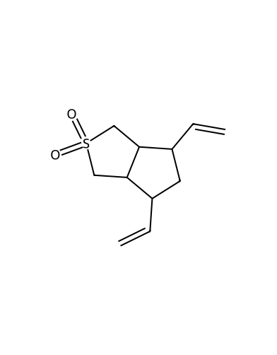 C=CC1CC(C=C)C2CS(=O)(=O)CC12